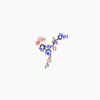 O=C(Nc1cn(CCOCCF)nc1-c1ccccn1)c1csc(-c2cn[nH]c2)n1.O=CO